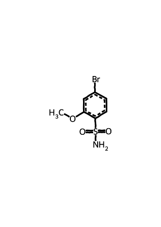 COc1cc(Br)ccc1S(N)(=O)=O